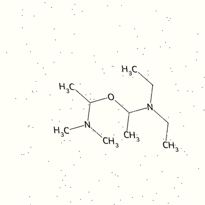 CCN(CC)C(C)OC(C)N(C)C